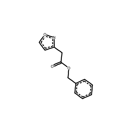 O=C(Cc1ccon1)OCc1ccccc1